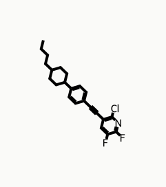 CCCCC1CCC(c2ccc(C#Cc3cc(F)c(F)nc3Cl)cc2)CC1